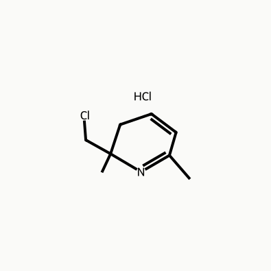 CC1=NC(C)(CCl)CC=C1.Cl